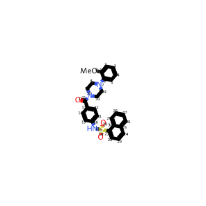 COc1ccccc1N1CCN(C(=O)c2ccc(NS(=O)(=O)c3cccc4ccccc34)cc2)CC1